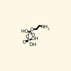 NCCOP(=O)(O)OP(=O)(O)O